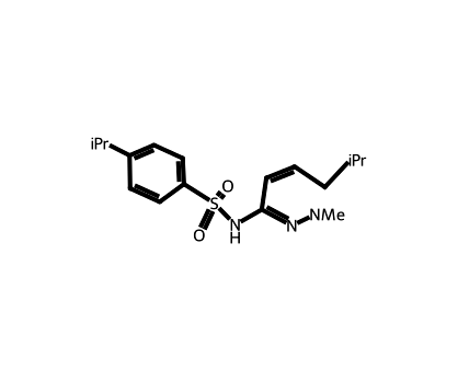 CN/N=C(\C=C/CC(C)C)NS(=O)(=O)c1ccc(C(C)C)cc1